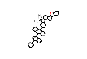 CC1(C)c2cc(-c3c4ccccc4c(-c4ccc(-c5ccccc5)c5ccccc45)c4ccccc34)ccc2-c2c1ccc1c2ccc2c3ccccc3oc12